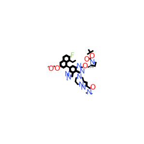 CCc1c(F)ccc2cc(OCOC)cc(-c3cc4nc(OC[C@@H]5CCN5C(=O)OC(C)(C)C)nc(N5CCCn6nc(C(=O)N(C)C)cc6C5)c4c4cn(C)nc34)c12